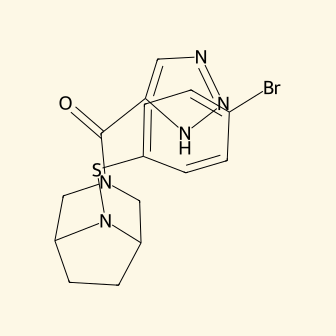 O=C(c1cnn[nH]1)N1CC2CCC(C1)N2Sc1ccc(Br)cc1